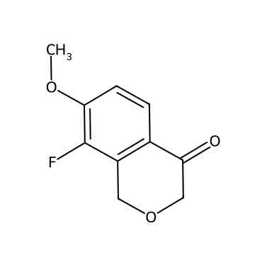 COc1ccc2c(c1F)COCC2=O